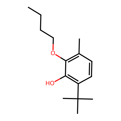 CCCCOc1c(C)ccc(C(C)(C)C)c1O